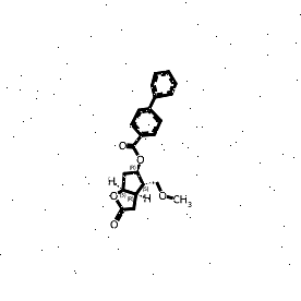 COC[C@@H]1[C@H]2CC(=O)O[C@H]2C[C@H]1OC(=O)c1ccc(-c2ccccc2)cc1